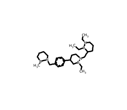 CCB1CC(c2ccc(CN3CCCCB3C)cc2)CCN1CC1CCCN(CC)B1CC